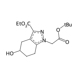 CCOC(=O)c1nn(CC(=O)OC(C)(C)C)c2c1CC(O)CC2